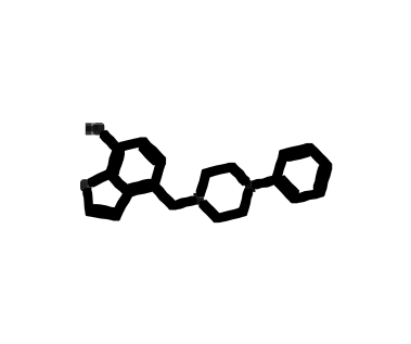 Oc1ccc(CN2CCN(c3ccccc3)CC2)c2ccoc12